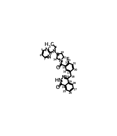 CCN(c1ncccn1)[C@@H]1CCN(C(=O)c2cc(Cc3n[nH]c(=O)c4ccccc34)ccc2F)C1